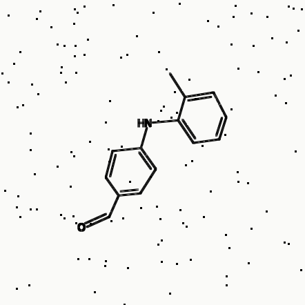 Cc1ccccc1Nc1ccc(C=O)cc1